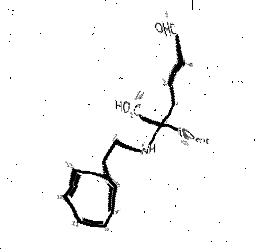 CCCC(C)C(CCCC=O)(NCc1ccccc1)C(=O)O